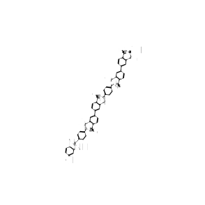 Cc1ccc2nc(-c3ccc(N4C(=O)c5ccc(-c6ccc7c(c6)C(=O)N(c6ccc(N8C(=O)c9ccc(-c%10ccc%11c(c%10)C(=O)N(C)C%11=O)cc9C8=O)cc6)C7=O)cc5C4=O)cc3)[nH]c2c1